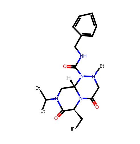 CCC(CC)N1C[C@H]2N(C(=O)CN(CC)N2C(=O)NCc2ccccc2)[C@@H](CC(C)C)C1=O